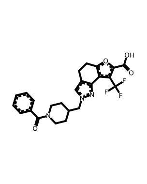 O=C(O)c1oc2c(c1C(F)(F)F)-c1nn(CC3CCN(C(=O)c4ccccc4)CC3)cc1CC2